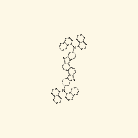 C1=C(N(c2cccc3ccccc23)c2cccc3ccccc23)CCc2c1sc1ccc3c(ccc4sc5cc(N(c6cccc7ccccc67)c6cccc7ccccc67)ccc5c43)c21